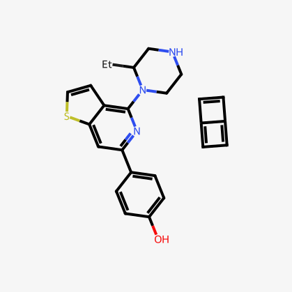 CCC1CNCCN1c1nc(-c2ccc(O)cc2)cc2sccc12.c1cc2ccc1-2